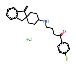 C=C1c2ccccc2CC12CCC(NCCCC(=O)c1ccc(F)cc1)CC2.Cl